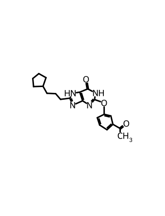 CC(=O)c1cccc(Oc2nc3nc(CCCC4CCCC4)[nH]c3c(=O)[nH]2)c1